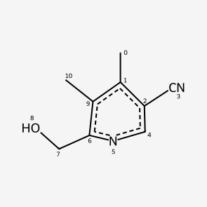 Cc1c(C#N)cnc(CO)c1C